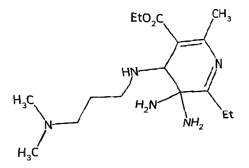 CCOC(=O)C1=C(C)N=C(CC)C(N)(N)C1NCCCN(C)C